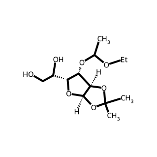 CCOC(C)O[C@@H]1[C@H]2OC(C)(C)O[C@H]2O[C@@H]1C(O)CO